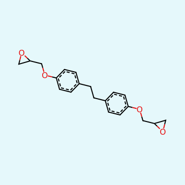 c1cc(OCC2CO2)ccc1CCc1ccc(OCC2CO2)cc1